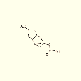 CC(=O)OC1CC2C3CC(OC(=O)C(C)(C)C)C(C3)C2C1